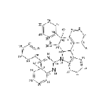 CC1CC=CC2=C1C1C3=C(CCC=C3)N(C3=NC4C=CC=CC4(C)C(C4C=CC=CC4)=N3)C1C1SC3=C(CCC=C3)C21C